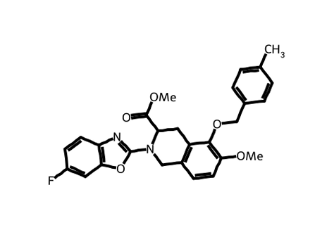 COC(=O)C1Cc2c(ccc(OC)c2OCc2ccc(C)cc2)CN1c1nc2ccc(F)cc2o1